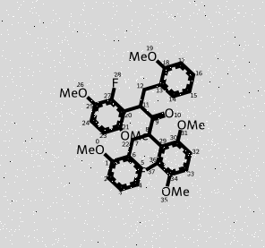 COc1ccccc1CC(C(=O)C(Cc1ccccc1OC)c1c(OC)ccc(OC)c1F)c1c(OC)ccc(OC)c1F